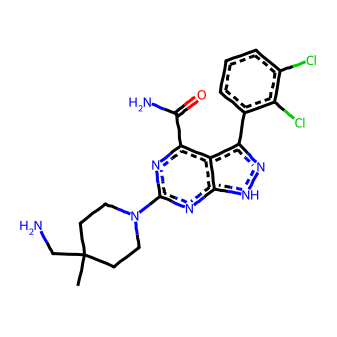 CC1(CN)CCN(c2nc(C(N)=O)c3c(-c4cccc(Cl)c4Cl)n[nH]c3n2)CC1